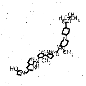 Cc1c(NC(=O)c2nc3c(n2C)CCN(C2CCC(C(=O)OC(C)(C)C)CC2)C3)cccc1-c1cccc(Nc2nccc3cc(CN4CC[C@@H](O)C4)cnc23)c1C